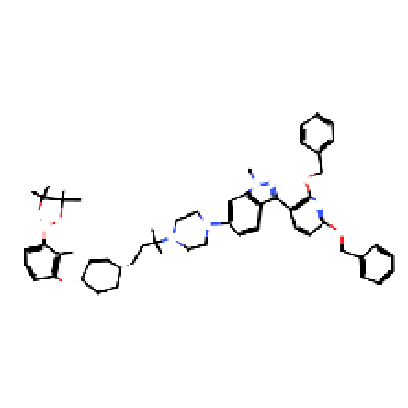 Cc1c(O[C@H]2CC[C@H](CCC(C)(C)N3CCN(c4ccc5c(-c6ccc(OCc7ccccc7)nc6OCc6ccccc6)nn(C)c5c4)CC3)CC2)cccc1B1OC(C)(C)C(C)(C)O1